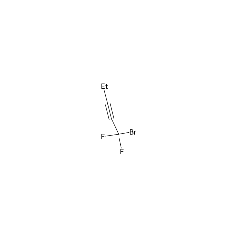 CCC#CC(F)(F)Br